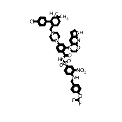 CC1(C)CCC(CN2CCN(c3ccc(C(=O)NS(=O)(=O)c4ccc(NCc5ccc(OC(F)F)cc5)c([N+](=O)[O-])c4)c(N4CCOc5nc6[nH]ccc6cc54)c3)CC2)=C(c2ccc(Cl)cc2)C1